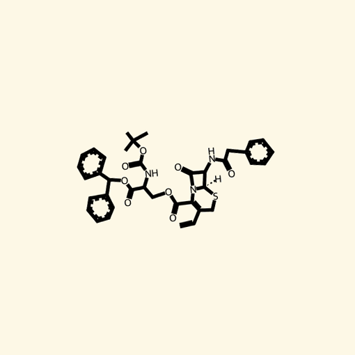 C=CC1=C(C(=O)OCC(NC(=O)OC(C)(C)C)C(=O)OC(c2ccccc2)c2ccccc2)N2C(=O)C(NC(=O)Cc3ccccc3)[C@H]2SC1